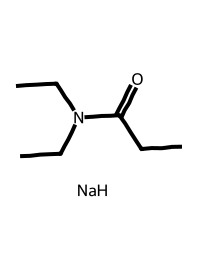 CCC(=O)N(CC)CC.[NaH]